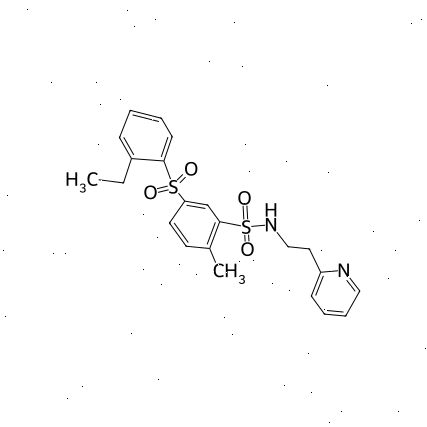 CCc1ccccc1S(=O)(=O)c1ccc(C)c(S(=O)(=O)NCCc2ccccn2)c1